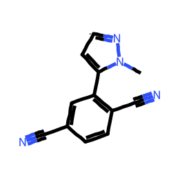 Cn1n[c]cc1-c1cc(C#N)ccc1C#N